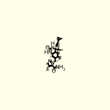 CC(F)(F)[C@@]1(C#CC2CC2)NC(=O)Nc2cc(Cn3ncc(F)c3C(N)=O)c(F)cc21